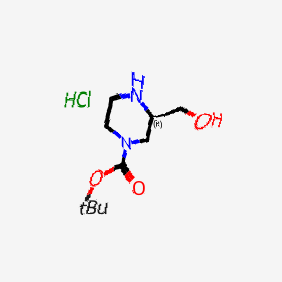 CC(C)(C)OC(=O)N1CCN[C@@H](CO)C1.Cl